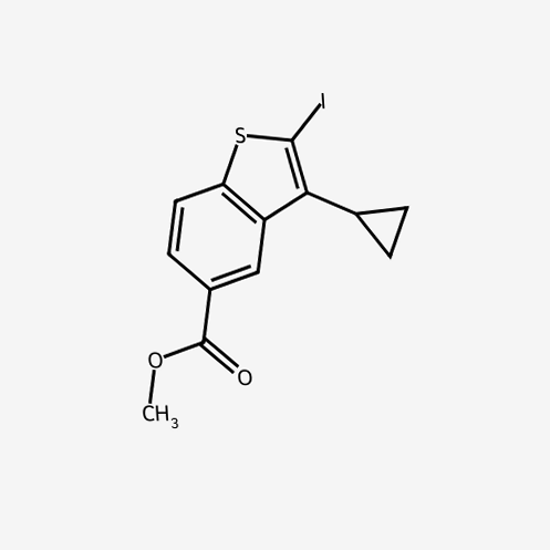 COC(=O)c1ccc2sc(I)c(C3CC3)c2c1